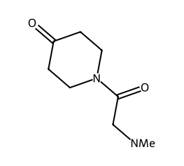 CNCC(=O)N1CCC(=O)CC1